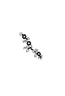 O=C(Nc1cc(C(F)(F)F)ccc1F)OCCC(Sc1ccc(NC(=O)c2ccc(Cl)cc2)cc1)C(=O)O